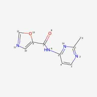 Cc1n[c]cc(NC(=O)c2cnco2)n1